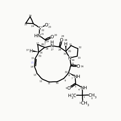 CC(C)(C)NC(=O)N[C@H]1CCCCC/C=C\[C@@H]2C[C@@]2(C(=O)N[S+]([O-])C2CC2)NC(=O)[C@@H]2CCCN2C1=O